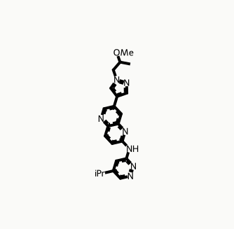 COC(C)Cn1cc(-c2cnc3ccc(Nc4cc(C(C)C)cnn4)nc3c2)cn1